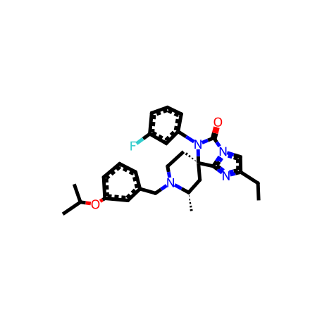 CCc1cn2c(n1)[C@]1(CCN(Cc3cccc(OC(C)C)c3)[C@@H](C)C1)N(c1cccc(F)c1)C2=O